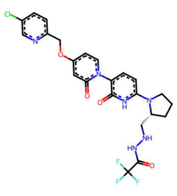 O=C(NNC[C@H]1CCCN1c1ccc(-n2ccc(OCc3ccc(Cl)cn3)cc2=O)c(=O)[nH]1)C(F)(F)F